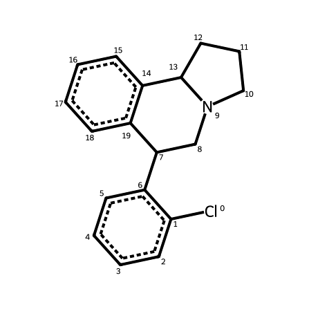 Clc1ccccc1C1CN2CCCC2c2ccccc21